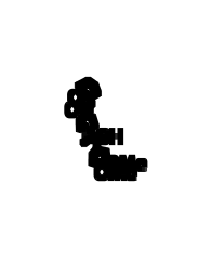 COc1ccc(C(O)C(C)N2CCC(N3Cc4ccccc4OC3=O)CC2)cc1OC